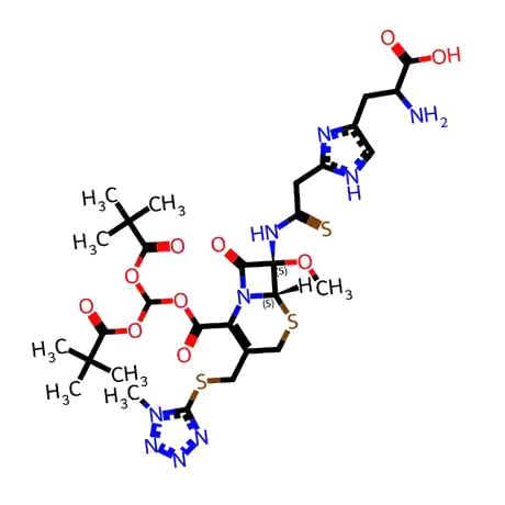 CO[C@@]1(NC(=S)Cc2nc(CC(N)C(=O)O)c[nH]2)C(=O)N2C(C(=O)OC(OC(=O)C(C)(C)C)OC(=O)C(C)(C)C)=C(CSc3nnnn3C)CS[C@H]21